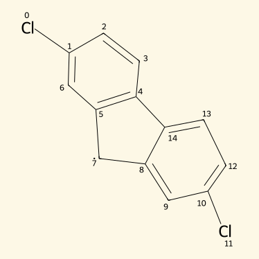 Clc1ccc2c(c1)[CH]c1cc(Cl)ccc1-2